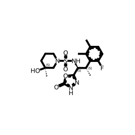 Cc1ccc(F)c([C@H](C)[C@H](NS(=O)(=O)N2CCC[C@](C)(O)C2)c2n[nH]c(=O)o2)c1C